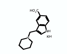 O=C(O)c1ccc2[nH]cc(CN3CCCCC3)c2c1.[KH]